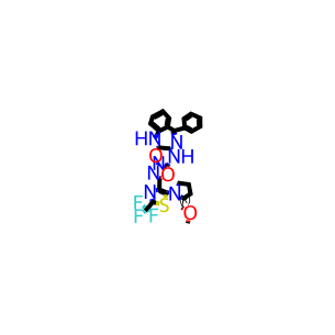 COC[C@H]1CCCN1c1sc(C(F)(F)F)nc1-c1nnc(NC2N=C(c3ccccc3)c3ccccc3NC2=O)o1